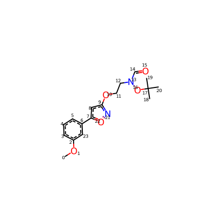 COc1cccc(-c2cc(OCCN(C=O)OC(C)(C)C)no2)c1